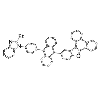 CCc1nc2ccccc2n1-c1ccc(-c2c3ccccc3c(-c3ccc4oc5c6ccccc6c6ccccc6c5c4c3)c3ccccc23)cc1